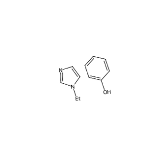 CCn1ccnc1.Oc1ccccc1